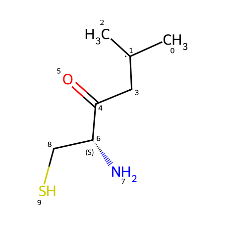 C[C](C)CC(=O)[C@H](N)CS